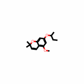 CCC(C)Oc1cc(OC)c2c(c1)OC(C)(C)C=C2